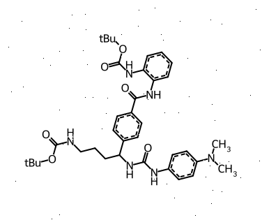 CN(C)c1ccc(NC(=O)NC(CCCNC(=O)OC(C)(C)C)c2ccc(C(=O)Nc3ccccc3NC(=O)OC(C)(C)C)cc2)cc1